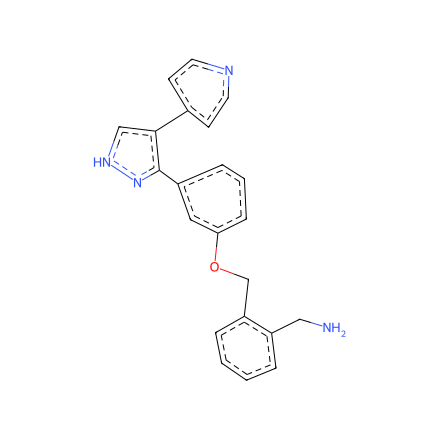 NCc1ccccc1COc1cccc(-c2n[nH]cc2-c2ccncc2)c1